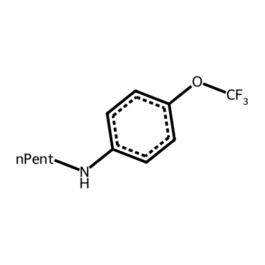 [CH2]CCCCNc1ccc(OC(F)(F)F)cc1